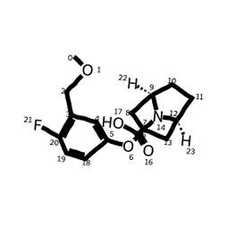 COCc1cc(O[C@H]2C[C@H]3CC[C@@H](C2)N3C(=O)O)ccc1F